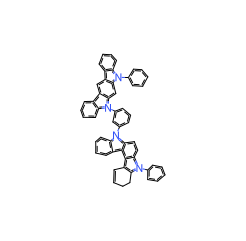 C1=Cc2c(n(-c3ccccc3)c3ccc4c(c5ccccc5n4-c4cccc(-n5c6ccccc6c6cc7c8ccccc8n(-c8ccccc8)c7cc65)c4)c23)CC1